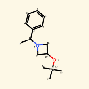 C[C@@H](c1ccccc1)N1CC(O[Si](C)(C)C)C1